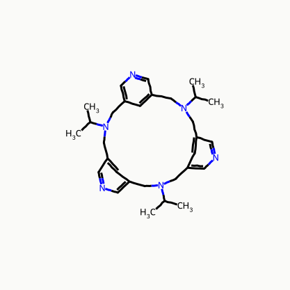 CC(C)N1Cc2cncc(c2)CN(C(C)C)Cc2cncc(c2)CN(C(C)C)Cc2cncc(c2)C1